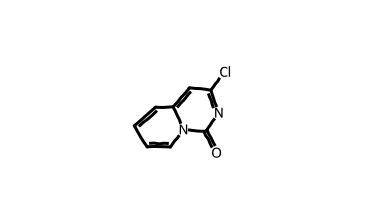 O=c1nc(Cl)cc2ccccn12